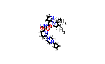 CC1CCN(c2ncccc2C(=O)NS(=O)(=O)c2cccc(N3CCN(C4CCCC4)CC3)n2)C1(C)C